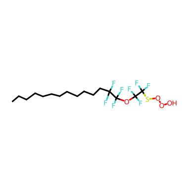 CCCCCCCCCCCCC(F)(F)C(F)(F)OC(F)(F)C(F)(F)SOOO